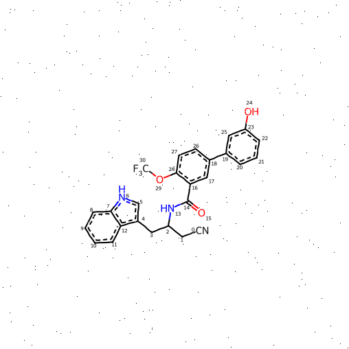 N#CCC(Cc1c[nH]c2ccccc12)NC(=O)c1cc(-c2cccc(O)c2)ccc1OC(F)(F)F